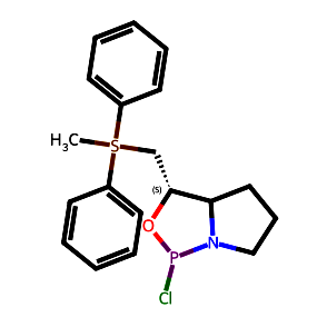 CS(C[C@H]1OP(Cl)N2CCCC12)(c1ccccc1)c1ccccc1